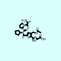 CC(=O)OCc1cc(C(=O)N(C(=O)[C@@H]2CCCN2C(=O)[C@H](C)N)C2CCCC2)sc1C(=N)N=CC(=O)O